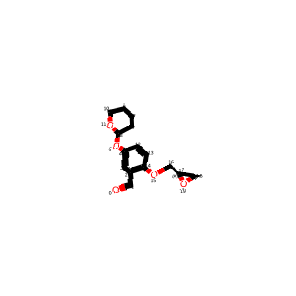 O=Cc1cc(OC2CCCCO2)ccc1OC[C@H]1CO1